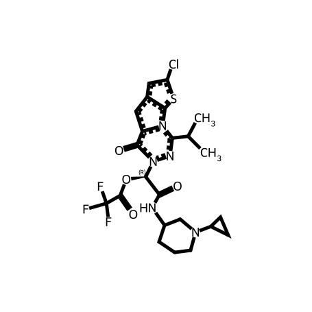 CC(C)c1nn([C@H](OC(=O)C(F)(F)F)C(=O)NC2CCCN(C3CC3)C2)c(=O)c2cc3cc(Cl)sc3n12